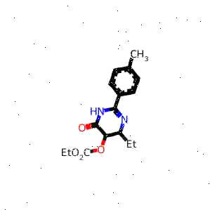 CCOC(=O)OC1C(=O)NC(c2ccc(C)cc2)=NC1CC